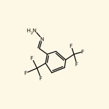 NN=Cc1cc(C(F)(F)F)ccc1C(F)(F)F